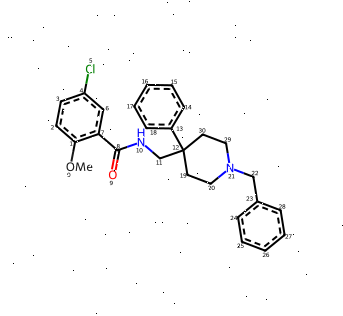 COc1ccc(Cl)cc1C(=O)NCC1(c2ccccc2)CCN(Cc2ccccc2)CC1